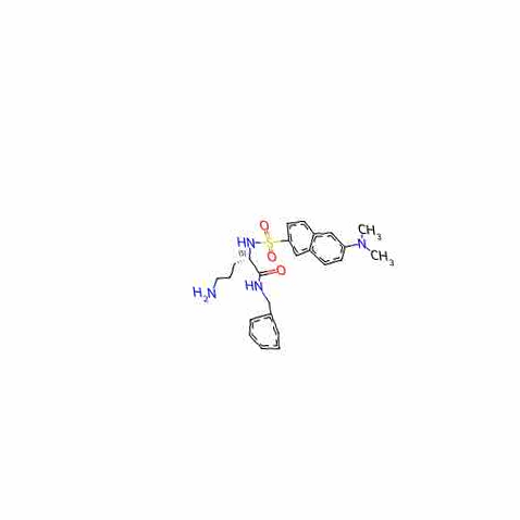 CN(C)c1ccc2cc(S(=O)(=O)N[C@@H](CCCN)C(=O)NCc3ccccc3)ccc2c1